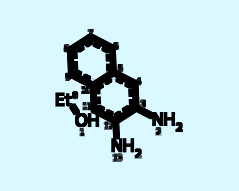 CCO.Nc1cc2ccccc2cc1N